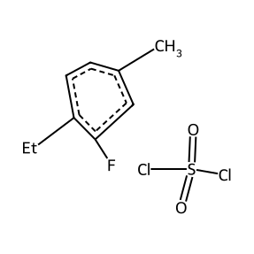 CCc1ccc(C)cc1F.O=S(=O)(Cl)Cl